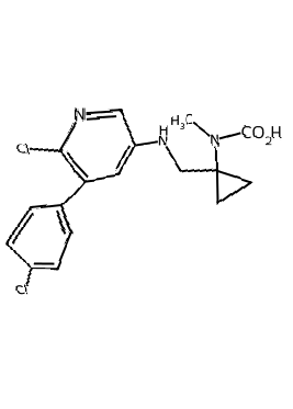 CN(C(=O)O)C1(CNc2cnc(Cl)c(-c3ccc(Cl)cc3)c2)CC1